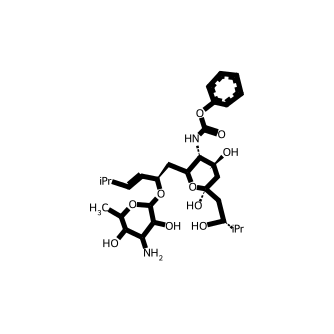 CC(C)/C=C/[C@@H](CC1O[C@](O)(C[C@@H](O)C(C)C)C[C@H](O)[C@H]1NC(=O)Oc1ccccc1)OC1OC(C)C(O)C(N)C1O